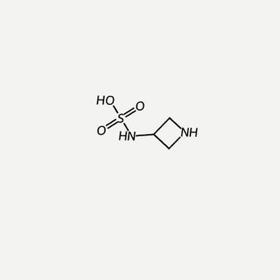 O=S(=O)(O)NC1CNC1